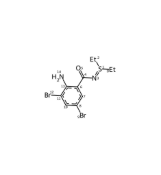 CCS(CC)=NC(=O)c1cc(Br)cc(Br)c1N